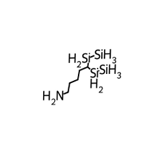 NCCCCC([SiH2][SiH3])[SiH2][SiH3]